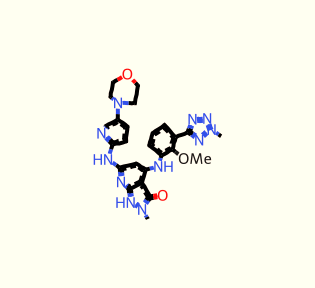 COc1c(Nc2cc(Nc3ccc(N4CCOCC4)cn3)nc3[nH]n(C)c(=O)c23)cccc1-c1nnn(C)n1